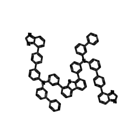 c1ccc(-c2cccc(N(c3cccc(-c4ccc(-c5cccc6c5=NCN=6)cc4)c3)c3cccc(-c4cccc5c4sc4c(-c6cccc(N(c7cccc(-c8ccccc8)c7)c7cccc(-c8ccc(-c9cccc%10c9=NCN=%10)cc8)c7)c6)cccc45)c3)c2)cc1